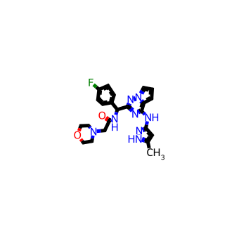 Cc1cc(Nc2nc(C(NC(=O)CN3CCOCC3)c3ccc(F)cc3)nn3cccc23)n[nH]1